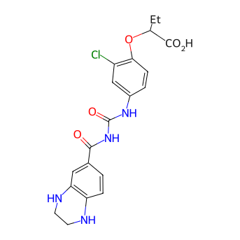 CCC(Oc1ccc(NC(=O)NC(=O)c2ccc3c(c2)NCCN3)cc1Cl)C(=O)O